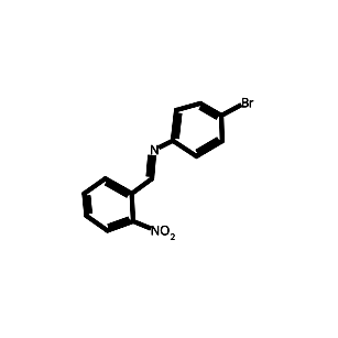 O=[N+]([O-])c1ccccc1/C=N/c1ccc(Br)cc1